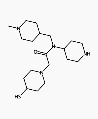 CN1CCC(CN(C(=O)CN2CCC(S)CC2)C2CCNCC2)CC1